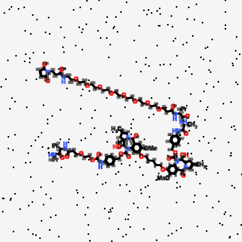 COc1cc2c(cc1OCCCCCOc1cc3c(cc1OC)C(=O)N1C=C(C)C[C@H]1[C@H](O)N3C(=O)OCc1ccc(NC(=O)OCCOCCC(=O)N[C@@H](C(=O)NC(C)C)C(C)C)cc1)N(C(=O)OCc1ccc(NC(=O)[C@@H](C)NC(=O)[C@H](NC(=O)CCOCCOCCOCCOCCOCCOCCOCCOCCNC(=O)CCN3C(=O)C=CC3=O)C(C)C)cc1)C(O)C1CC(C)=CN1C2=O